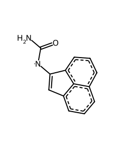 NC(=O)[N]C1=Cc2cccc3cccc1c23